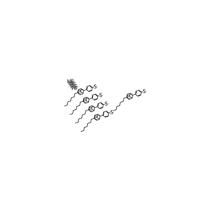 CCCCCCCC12CCC(c3ccc([S])cc3)(CC1)CC2.CCCCCCCC12CCC(c3ccc([S])cc3)(CC1)CC2.CCCCCCCC12CCC(c3ccc([S])cc3)(CC1)CC2.CCCCCCCC12CCC(c3ccc([S])cc3)(CC1)CC2.CCCCCCCC12CCC(c3ccc([S])cc3)(CC1)CC2.F.F.F.F.F